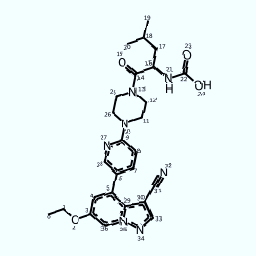 CCOc1cc(-c2ccc(N3CCN(C(=O)C(CC(C)C)NC(=O)O)CC3)nc2)c2c(C#N)cnn2c1